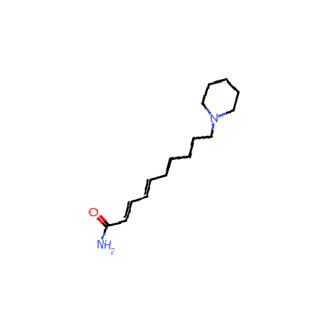 NC(=O)C=CC=CCCCCCN1CCCCC1